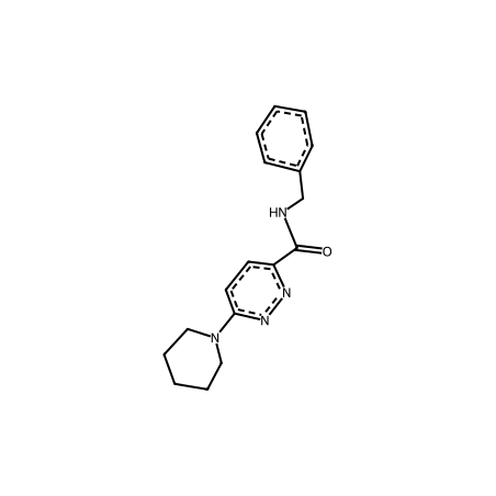 O=C(NCc1ccccc1)c1ccc(N2CCCCC2)nn1